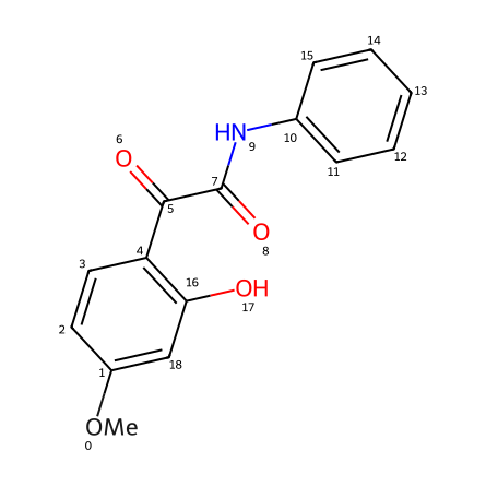 COc1ccc(C(=O)C(=O)Nc2ccccc2)c(O)c1